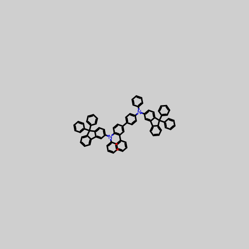 c1ccc(-c2cc(-c3ccc(N(c4ccccc4)c4ccc5c(c4)-c4ccccc4C5(c4ccccc4)c4ccccc4)cc3)ccc2N(c2ccccc2)c2ccc3c(c2)-c2ccccc2C3(c2ccccc2)c2ccccc2)cc1